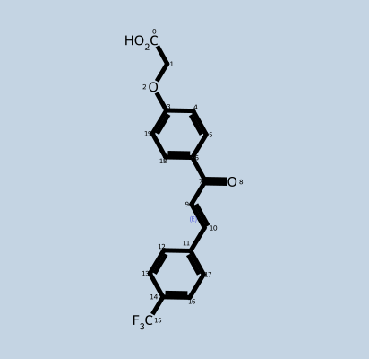 O=C(O)COc1ccc(C(=O)/C=C/c2ccc(C(F)(F)F)cc2)cc1